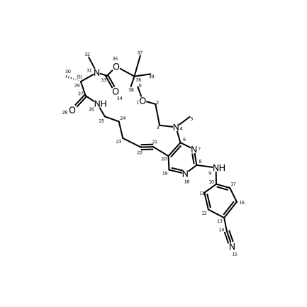 COCCN(C)c1nc(Nc2ccc(C#N)cc2)ncc1C#CCCCNC(=O)[C@H](C)N(C)C(=O)OC(C)(C)C